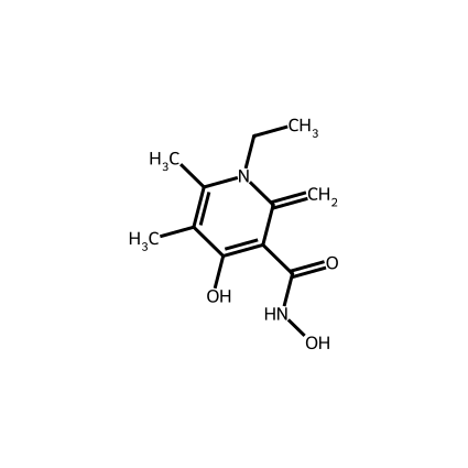 C=C1C(C(=O)NO)=C(O)C(C)=C(C)N1CC